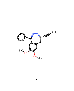 CC#CC1=NN=C(c2ccccc2)c2cc(OC)c(OC)cc2C1